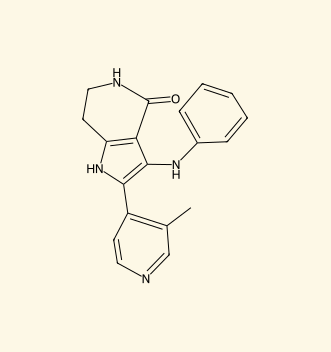 Cc1cnccc1-c1[nH]c2c(c1Nc1ccccc1)C(=O)NCC2